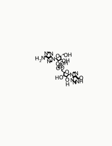 Nc1ncnc2c1ncn2[C@@H]1O[C@H](CO)[C@@H](O)[C@H]1OP(=O)(O)OC[C@H]1O[C@@H](n2cnc3c(=O)[nH]nnc32)[C@H](O)[C@@H]1O